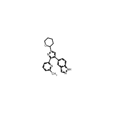 Cc1cccc(-c2nn(C3CCCCO3)cc2-c2ccc3[nH]ncc3c2)n1